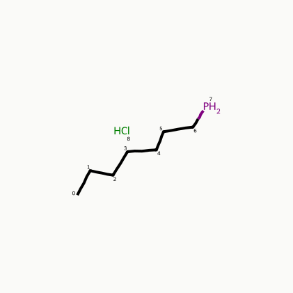 CCCCCCCP.Cl